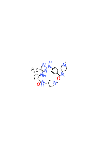 CN1CCC(CNC(=O)[C@H]2CCC[C@H]2Nc2nc(Nc3ccc(C(=O)N(C)C4CCN(C)CC4)cc3)ncc2C(F)(F)F)CC1